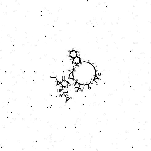 C=C[C@@H]1C[C@]1(NC(=O)[C@@H]1C[C@@H]2CN1C(=O)[C@H](C(C)(C)C)NC(=O)O[C@@]1(C)C[C@@H]1CCCCCc1nc3ccccc3nc1O2)C(=O)NS(=O)(=O)C1CC1